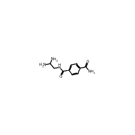 NC(=O)c1ccc(C(=O)NCC(N)N)cc1